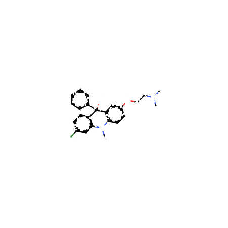 CN(C)CCOc1ccc2c(c1)C(O)(c1ccccc1)c1ccc(Cl)cc1N2C